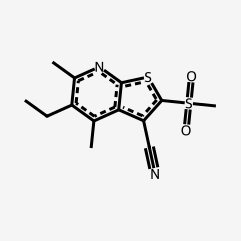 CCc1c(C)nc2sc(S(C)(=O)=O)c(C#N)c2c1C